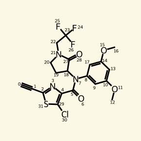 C#Cc1nc(C(=O)N(c2cc(OC)cc(OC)c2)C2CCN(CC(F)(F)F)C2=O)c(Cl)s1